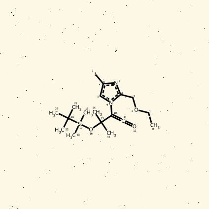 CCOCc1nc(I)cn1C(=C=O)C(C)(C)O[Si](C)(C)C(C)(C)C